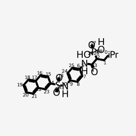 CC(C)CC(C(=O)Nc1ccc(NS(=O)(=O)c2ccc3ccccc3c2)cc1)P(=O)(O)O